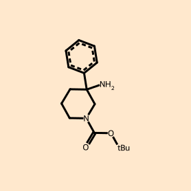 CC(C)(C)OC(=O)N1CCCC(N)(c2ccccc2)C1